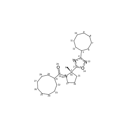 C[C@@]1(c2nc(C3CCCCCCC3)no2)CCCN1C(=O)C1CCCCCCCC1